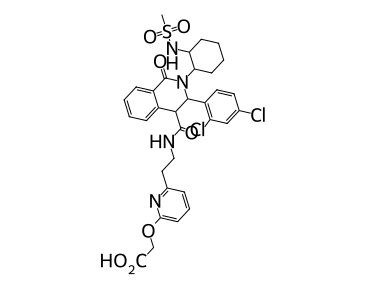 CS(=O)(=O)NC1CCCCC1N1C(=O)c2ccccc2C(C(=O)NCCc2cccc(OCC(=O)O)n2)C1c1ccc(Cl)cc1Cl